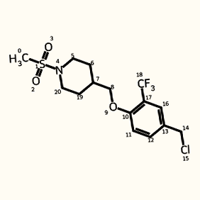 CS(=O)(=O)N1CCC(COc2ccc(CCl)cc2C(F)(F)F)CC1